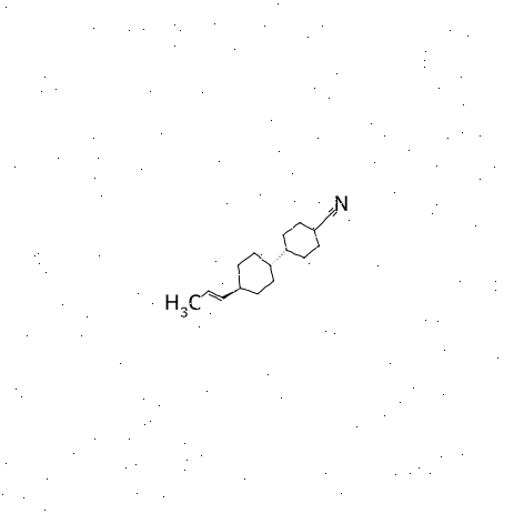 C/C=C/[C@H]1CC[C@H](C2CCC(C#N)CC2)CC1